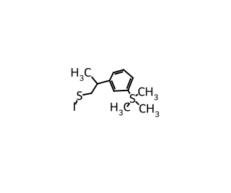 CC(CSI)c1cccc(S(C)(C)C)c1